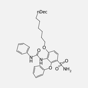 CCCCCCCCCCCCCCCCOc1ccc(S(N)(=O)=O)c(Oc2ccccc2)c1NC(=O)Nc1ccccc1